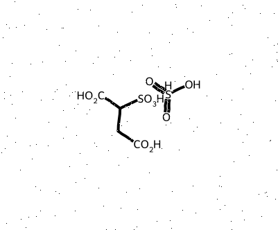 O=C(O)CC(C(=O)O)S(=O)(=O)O.O=[SH](=O)O